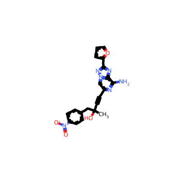 CC(O)(C#Cc1cn2nc(-c3ccco3)nc2c(N)n1)Cc1ccc([N+](=O)[O-])cc1